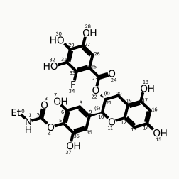 CCNC(=O)Oc1c(O)cc([C@@H]2Oc3cc(O)cc(O)c3C[C@H]2OC(=O)c2cc(O)c(O)c(O)c2F)cc1O